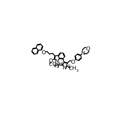 CC(C)c1nn(C)c(COc2ccc(N3CCOCC3)cc2)c1-c1cccc2c(CCCOc3cccc4ccccc34)c(OC(=O)O)[nH]c12